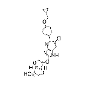 O[C@@H]1CO[C@H]2[C@@H]1OC[C@H]2Oc1nc2nc(-c3ccc(OCC4CC4)cc3)c(Cl)cc2[nH]1